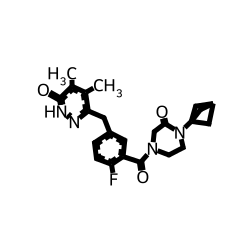 Cc1c(Cc2ccc(F)c(C(=O)N3CCN(C45CC(C4)C5)C(=O)C3)c2)n[nH]c(=O)c1C